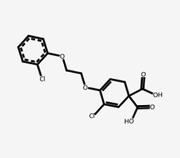 O=C(O)C1(C(=O)O)C=C(Cl)C(OCCOc2ccccc2Cl)=CC1